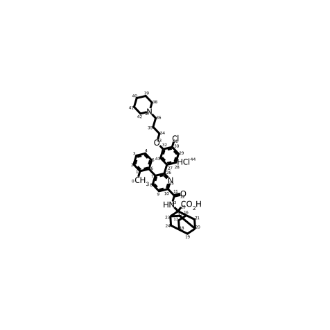 Cc1ccccc1-c1ccc(C(=O)NC2(C(=O)O)C3CC4CC(C3)CC2C4)nc1-c1ccc(Cl)c(OCCCN2CCCCC2)c1.Cl